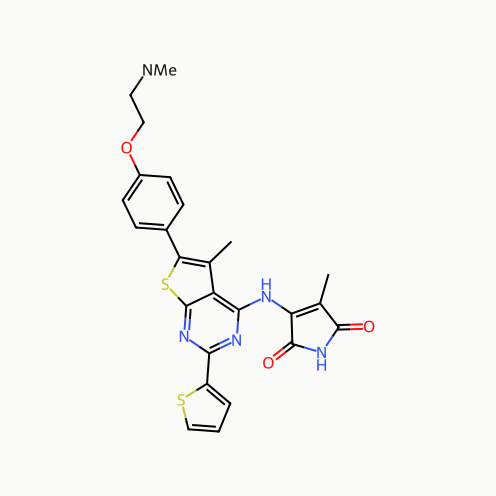 CNCCOc1ccc(-c2sc3nc(-c4cccs4)nc(NC4=C(C)C(=O)NC4=O)c3c2C)cc1